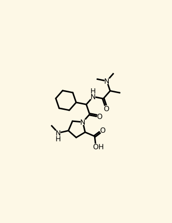 CNC1CC(C(=O)O)N(C(=O)C(NC(=O)C(C)N(C)C)C2CCCCC2)C1